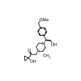 COCc1ccc(/C(=C/O)N2CCN(CC(=O)C3(O)CC3)[C@@H](C)C2)cc1